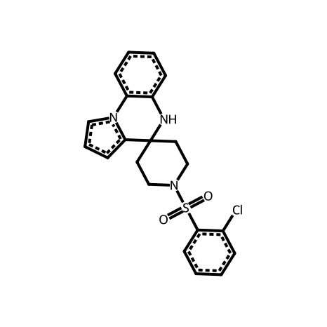 O=S(=O)(c1ccccc1Cl)N1CCC2(CC1)Nc1ccccc1-n1cccc12